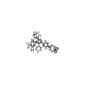 N#CC1(NC(=O)[C@@H]2CCCC[C@H]2c2nc(N3CCOCC3)sc2-c2ccc(N3CCS(=O)(=O)CC3)cc2)CC1